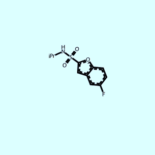 CC(C)NS(=O)(=O)c1cc2cc(F)ccc2o1